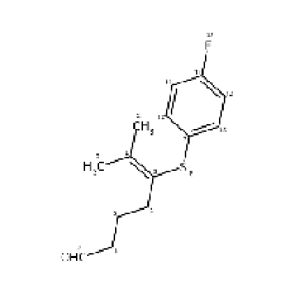 CC(C)=C(CCCC=O)Sc1ccc(F)cc1